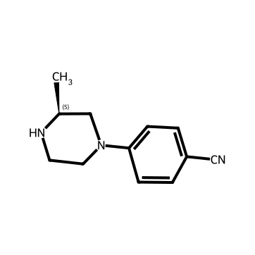 C[C@H]1CN(c2ccc(C#N)cc2)CCN1